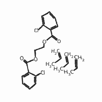 C=CC.C=CC.C=CC.O=C(OCCOC(=O)c1ccccc1Cl)c1ccccc1Cl